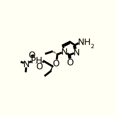 CC[C@@H](CO[PH](=O)N(C)C)O[C@H](CC)n1ccc(N)nc1=O